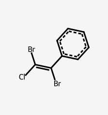 ClC(Br)=C(Br)c1ccccc1